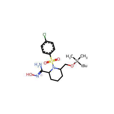 CC(C)(C)[Si](C)(C)OCC1CCCC(/C(N)=N/O)N1S(=O)(=O)c1ccc(Cl)cc1